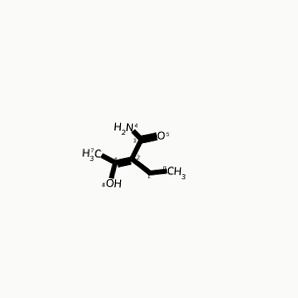 CCC(C(N)=O)=C(C)O